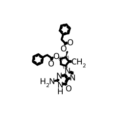 C=C1[C@H](COC(=O)Cc2ccccc2)[C@@H](OC(=O)Cc2ccccc2)C[C@@H]1n1cnc2c(=O)[nH]c(N)nc21